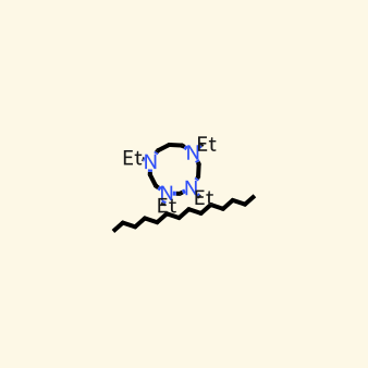 CCCCCCCCCCCCCC.CCN1CCCN(CC)CCN(CC)CN(CC)CC1